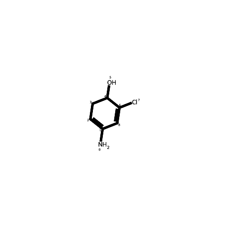 NC1=CCC(O)C(Cl)=C1